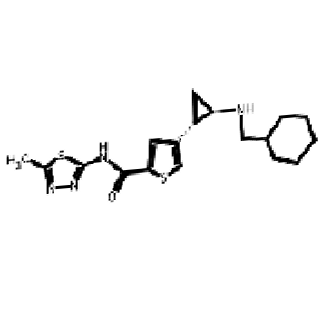 Cc1nnc(NC(=O)c2cc([C@@H]3C[C@H]3NCC3CCCCC3)cs2)s1